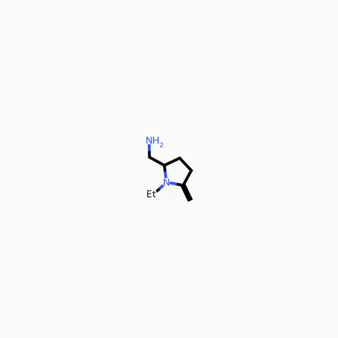 C=C1CCC(CN)N1CC